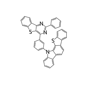 c1ccc(-c2nc(-c3cccc(-n4c5ccccc5c5ccc6c7ccccc7sc6c54)c3)c3sc4ccccc4c3n2)cc1